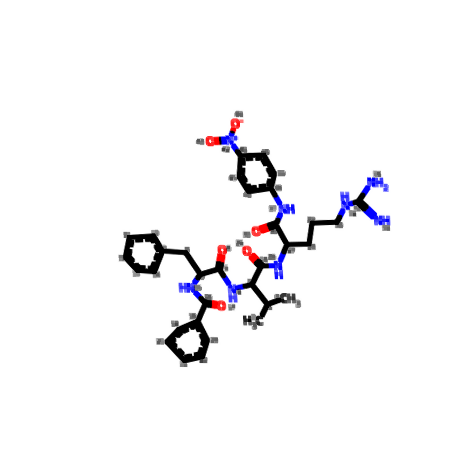 CC(C)C(NC(=O)C(Cc1ccccc1)NC(=O)c1ccccc1)C(=O)NC(CCCNC(=N)N)C(=O)Nc1ccc([N+](=O)[O-])cc1